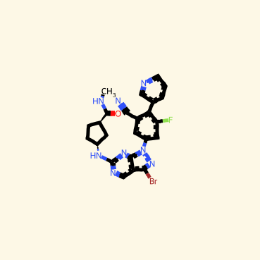 CNC(=O)[C@@H]1CC[C@@H](Nc2ncc3c(Br)nn(-c4cc(F)c(-c5cccnc5)c(C#N)c4)c3n2)C1